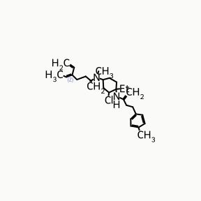 C=C/C(=C\C)CCC(=C)N(C)C1CCC(CC)(NC(=C)CCc2ccc(C)cc2)C(Cl)C1